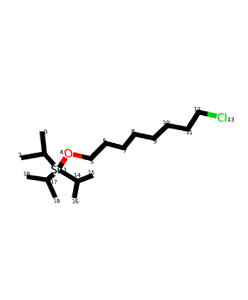 CC(C)[Si](OCCCCCCCCCl)(C(C)C)C(C)C